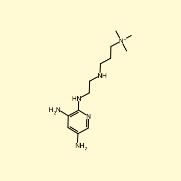 C[N+](C)(C)CCCNCCNc1ncc(N)cc1N